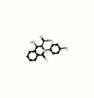 NC(=O)c1c(O)c2ccccc2c(=O)n1-c1ccc(Br)cc1